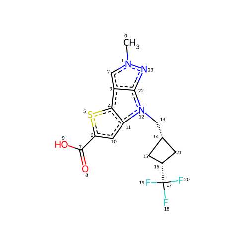 Cn1cc2c3sc(C(=O)O)cc3n(C[C@H]3C[C@@H](C(F)(F)F)C3)c2n1